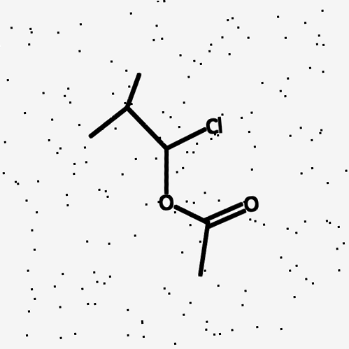 CC(=O)OC(Cl)C(C)C